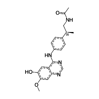 COc1cc2ncnc(Nc3ccc([C@H](C)CNC(C)=O)cc3)c2cc1O